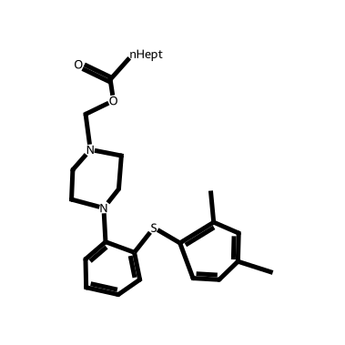 CCCCCCCC(=O)OCN1CCN(c2ccccc2Sc2ccc(C)cc2C)CC1